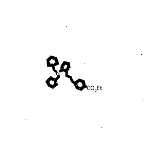 CCOC(=O)c1ccc(CCCc2ccccc2N(Cc2ccccc2)Cc2ccccc2)cc1